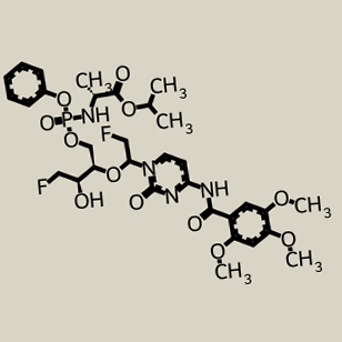 COc1cc(OC)c(C(=O)Nc2ccn(C(CF)O[C@H](COP(=O)(N[C@H](C)C(=O)OC(C)C)Oc3ccccc3)[C@@H](O)CF)c(=O)n2)cc1OC